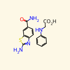 NC(=O)c1ccc2nc(N)sc2c1.O=C(O)CNc1ccccc1